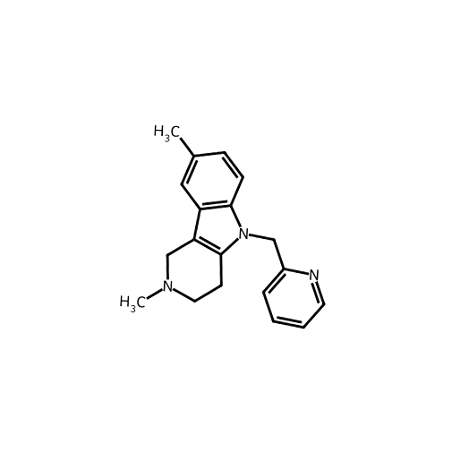 Cc1ccc2c(c1)c1c(n2Cc2ccccn2)CCN(C)C1